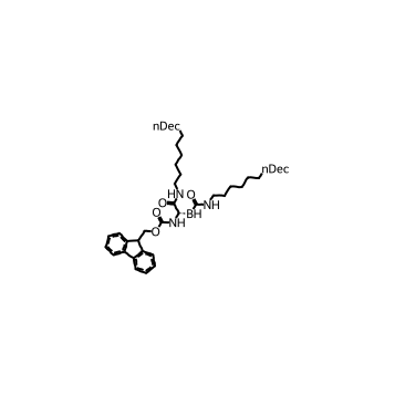 CCCCCCCCCCCCCCCCNC(=O)B[C@H](NC(=O)OCC1c2ccccc2-c2ccccc21)C(=O)NCCCCCCCCCCCCCCCC